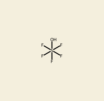 OS(F)(F)(F)(F)F